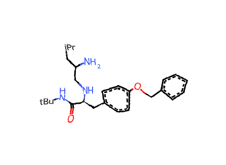 CC(C)CC(N)CN[C@@H](Cc1ccc(OCc2ccccc2)cc1)C(=O)NC(C)(C)C